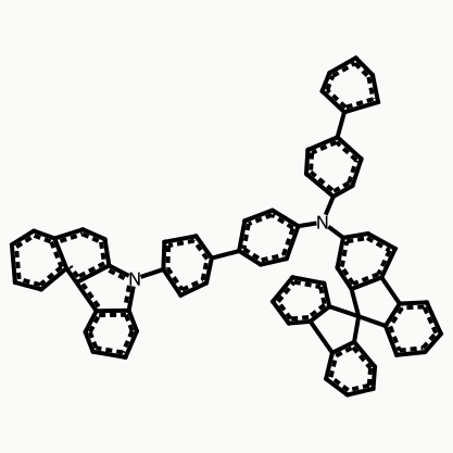 c1ccc(-c2ccc(N(c3ccc(-c4ccc(-n5c6ccccc6c6c7ccccc7ccc65)cc4)cc3)c3ccc4c(c3)C3(c5ccccc5-c5ccccc53)c3ccccc3-4)cc2)cc1